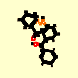 O=C(c1ccccc1)c1cccc(P)c1C(=O)c1ccccc1